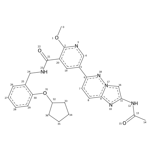 COc1ncc(-c2ccc3nc(NC(C)=O)cn3n2)cc1C(=O)NCc1ccccc1OC1CCCC1